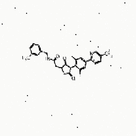 Cc1cc(-c2ccc(C(F)(F)F)cn2)cc(C)c1C1C(=O)CC(CC(=O)NCc2cccc(C(F)(F)F)c2)C1=O